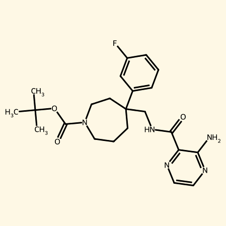 CC(C)(C)OC(=O)N1CCCC(CNC(=O)c2nccnc2N)(c2cccc(F)c2)CC1